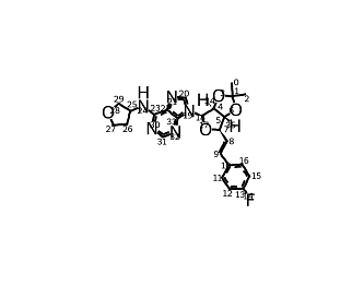 CC1(C)O[C@H]2[C@H](O1)[C@@H](/C=C/c1ccc(F)cc1)O[C@H]2n1cnc2c(NC3CCOC3)ncnc21